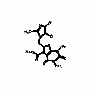 CCCn1c(=O)n(C)c(=O)c2c(C(=O)OC)c(Cn3c(C)nc(Cl)c3Cl)sc21